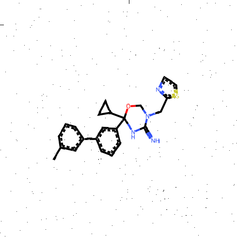 Cc1cccc(-c2cccc(C3(C4CC4)NC(=N)N(Cc4nccs4)CO3)c2)c1